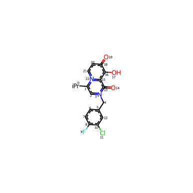 CC(C)c1cn(Cc2ccc(F)c(Cl)c2)c(=O)c2c(O)c(=O)ccn12